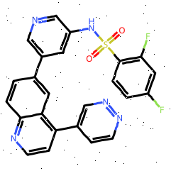 O=S(=O)(Nc1cncc(-c2ccc3nccc(-c4ccnnc4)c3c2)c1)c1ccc(F)cc1F